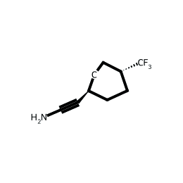 NC#C[C@H]1CC[C@H](C(F)(F)F)CC1